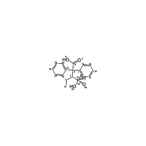 CCC(C(C(=O)O)(c1ccccc1)c1ccccc1)P(=O)(O)O